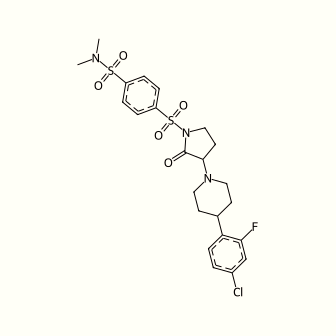 CN(C)S(=O)(=O)c1ccc(S(=O)(=O)N2CCC(N3CCC(c4ccc(Cl)cc4F)CC3)C2=O)cc1